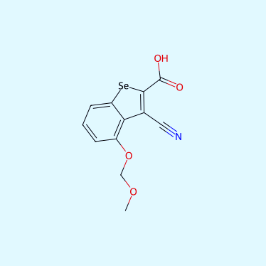 COCOc1cccc2[se]c(C(=O)O)c(C#N)c12